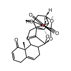 C[C@]12C(=O)C=CCC1=CCC1C2CC[C@@]2(O)C(=O)O[C@@]3(C)[C@@H]4C[C@@]5(C)C6C(=O)[C@]1(OC[C@H]5C(=O)O4)O[C@]623